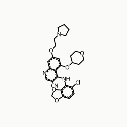 N#Cc1cnc2cc(OCCN3CCCC3)cc(OC3CCOCC3)c2c1Nc1c(Cl)ccc2c1OCO2